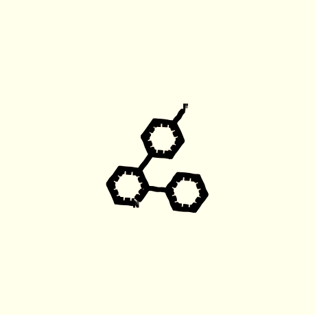 Fc1ccc(-c2cccnc2-c2ccccc2)cc1